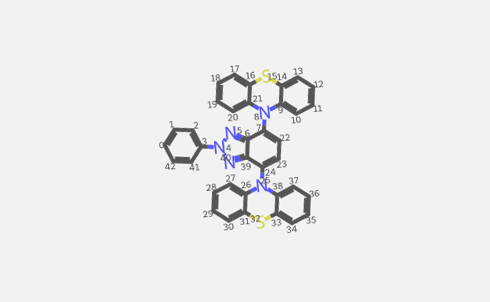 c1ccc(-n2nc3c(N4c5ccccc5Sc5ccccc54)ccc(N4c5ccccc5Sc5ccccc54)c3n2)cc1